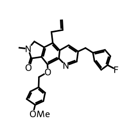 C=CCc1c2c(c(OCc3ccc(OC)cc3)c3ncc(Cc4ccc(F)cc4)cc13)C(=O)N(C)C2